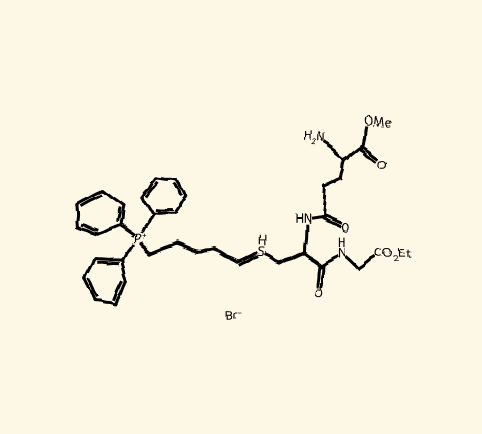 CCOC(=O)CNC(=O)C(C[SH]=CCCCC[P+](c1ccccc1)(c1ccccc1)c1ccccc1)NC(=O)CCC(N)C(=O)OC.[Br-]